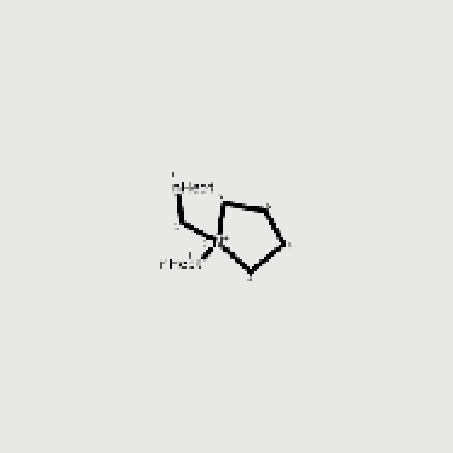 CCCCCCCC[N+]1(CCCCCCC)CCCC1